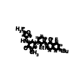 CCc1c(-c2cc(Nc3cc(C)on3)c(=O)n(C)n2)ccnc1-n1ncc2cc(C(C)(C)C)cc(F)c2c1=O